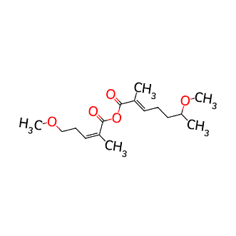 COCCC=C(C)C(=O)OC(=O)C(C)=CCCC(C)OC